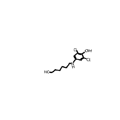 N#CCCCCCCNc1cc(Cl)c(O)c(Cl)c1